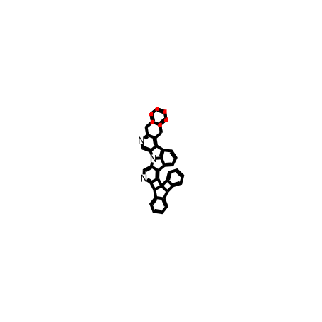 c1ccc2c(c1)C1c3ccccc3C2c2c1ncc1c2c2cccc3c4c5c(ncc4n1c23)C1c2ccccc2C2c3ccccc3C521